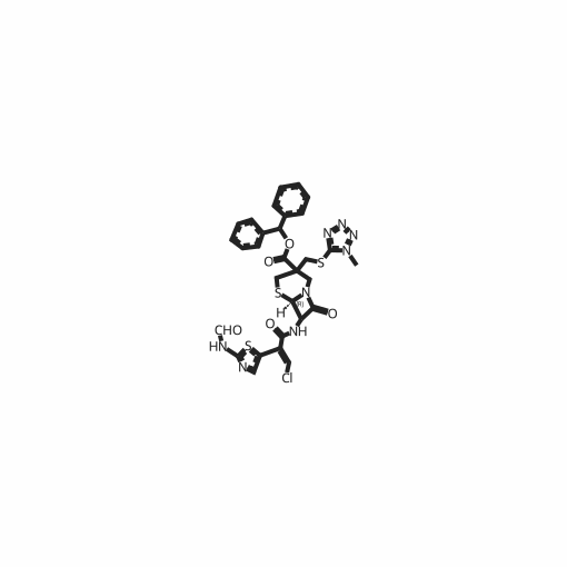 Cn1nnnc1SCC1(C(=O)OC(c2ccccc2)c2ccccc2)CS[C@@H]2C(NC(=O)C(=CCl)c3cnc(NC=O)s3)C(=O)N2C1